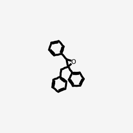 c1ccc(CC2(c3ccccc3)OC2c2ccccc2)cc1